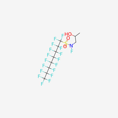 CC(O)CN(F)S(=O)(=O)C(F)(F)C(F)(F)C(F)(F)C(F)(F)C(F)(F)C(F)(F)C(F)(F)C(F)(F)F